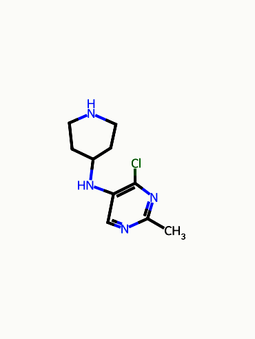 Cc1ncc(NC2CCNCC2)c(Cl)n1